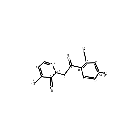 O=C(Cn1nccc(Cl)c1=O)c1ccc(Cl)cc1Cl